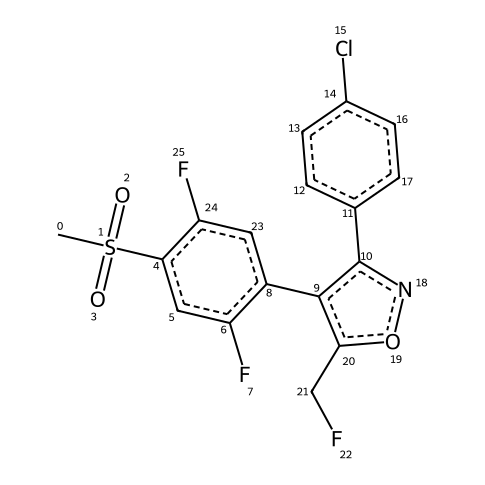 CS(=O)(=O)c1cc(F)c(-c2c(-c3ccc(Cl)cc3)noc2CF)cc1F